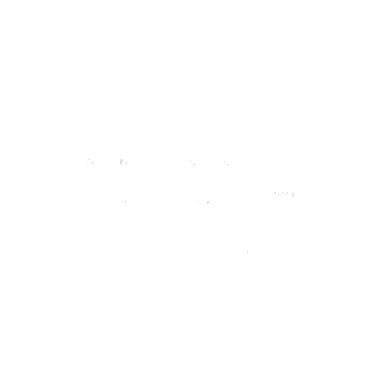 C=CC(=O)Nc1cc(NC/N=C\C=C(/NC)c2c3n(c4ccccc24)CCC3)c(OC)cc1N(C)C(C)CN(C)C